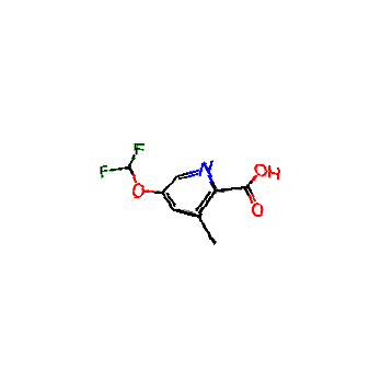 Cc1cc(OC(F)F)cnc1C(=O)O